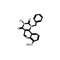 CCn1c(=O)c2cnc3c(OC)cccc3c2n(Cc2ccccc2)c1=O